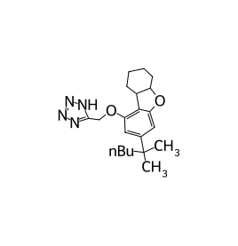 CCCCC(C)(C)c1cc(OCc2nnn[nH]2)c2c(c1)OC1CCCCC21